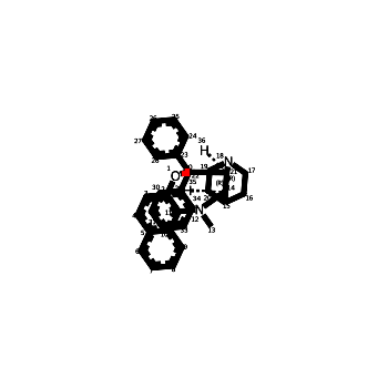 COc1ccc2ccccc2c1N(C)[C@@H]1C2CCN(CC2)[C@@H]1C(c1ccccc1)c1ccccc1